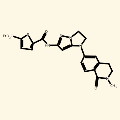 CCOC(=O)c1ccc(C(=O)Nc2cc3n(n2)CCN3c2ccc3c(c2)CCN(C)C3=O)s1